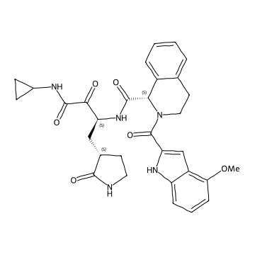 COc1cccc2[nH]c(C(=O)N3CCc4ccccc4[C@H]3C(=O)N[C@@H](C[C@@H]3CCNC3=O)C(=O)C(=O)NC3CC3)cc12